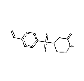 O=Cc1ccc(S(=O)(=O)N2CCNC(=O)C2)cc1